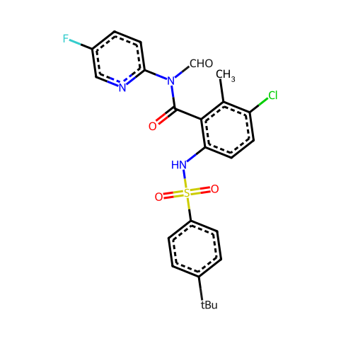 Cc1c(Cl)ccc(NS(=O)(=O)c2ccc(C(C)(C)C)cc2)c1C(=O)N(C=O)c1ccc(F)cn1